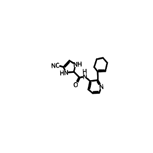 N#CC1=CNC(C(=O)Nc2cccnc2C2=CCCCC2)N1